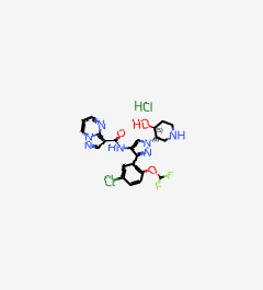 Cl.O=C(Nc1cn([C@H]2CNCC[C@@H]2O)nc1-c1cc(Cl)ccc1OC(F)F)c1cnn2cccnc12